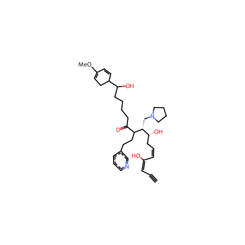 C#C/C=C(O)\C=C/C[C@@H](O)[C@@H](CN1CCCC1)C(CCc1cccnc1)C(=O)CCCCC(O)C1C=CC(OC)=CC1